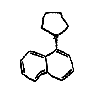 c1ccc2c(B3CCCC3)cccc2c1